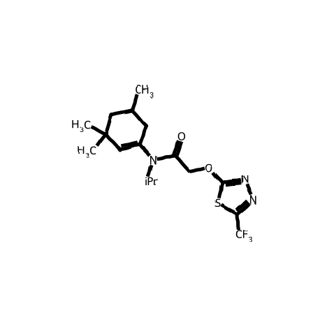 CC1CC(N(C(=O)COc2nnc(C(F)(F)F)s2)C(C)C)=CC(C)(C)C1